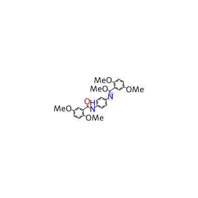 CO/C(=N\c1ccc(NC(=O)c2cc(OC)ccc2OC)cc1)c1cc(OC)ccc1OC